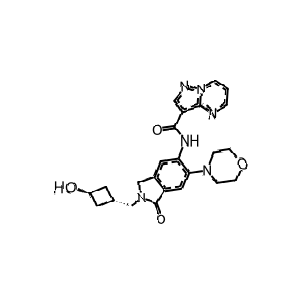 O=C(Nc1cc2c(cc1N1CCOCC1)C(=O)N(C[C@H]1C[C@H](O)C1)C2)c1cnn2cccnc12